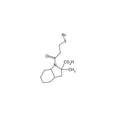 CC(=O)SCCC(=O)N1C2CCCCC2CC1(C)C(=O)O